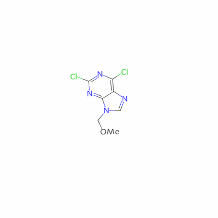 COCn1cnc2c(Cl)nc(Cl)nc21